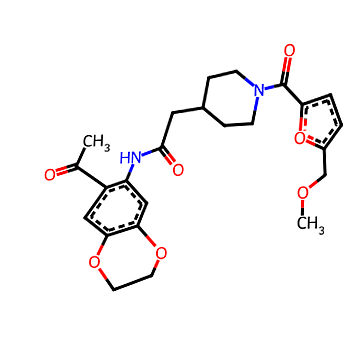 COCc1ccc(C(=O)N2CCC(CC(=O)Nc3cc4c(cc3C(C)=O)OCCO4)CC2)o1